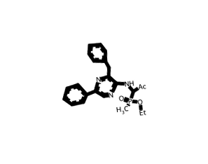 CCOP(C)(=O)C(Nc1ncc(-c2ccccc2)nc1Cc1ccccc1)C(C)=O